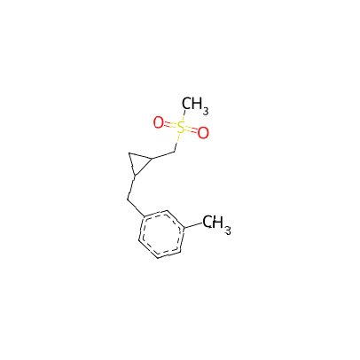 Cc1cccc(CC2CC2CS(C)(=O)=O)c1